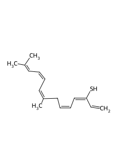 C=C/C(S)=C\C=C/C/C(C)=C\C=C/C=C(C)C